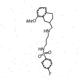 COc1cccc2c1CC(CNCCCNS(=O)(=O)c1ccc(F)cc1)CC2